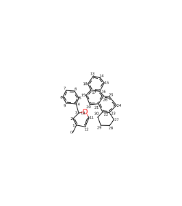 CC1=CC(c2ccccc2)OC=C1.c1ccc2c(c1)ccc1c3c(ccc12)CCCC3